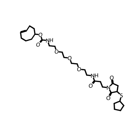 O=C(CCN1C(=O)CC(SC2CCCC2)C1=O)NCCOCCOCCOCCNC(=O)OC1CC/C=C/CCC1